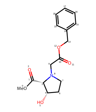 COC(=O)[C@H]1[C@@H](O)CCN1CC(=O)OCc1ccccc1